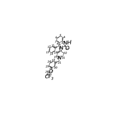 O=C1Nc2ccccc2C(c2ccccc2)N1C1CCN(Cc2cccc(OCC(F)(F)F)c2)CC1